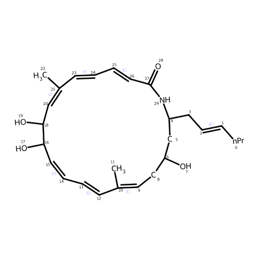 CCC/C=C/CC1CC(O)C/C=C(C)/C=C/C=C\C(O)C(O)\C=C(C)/C=C/C=C/C(=O)N1